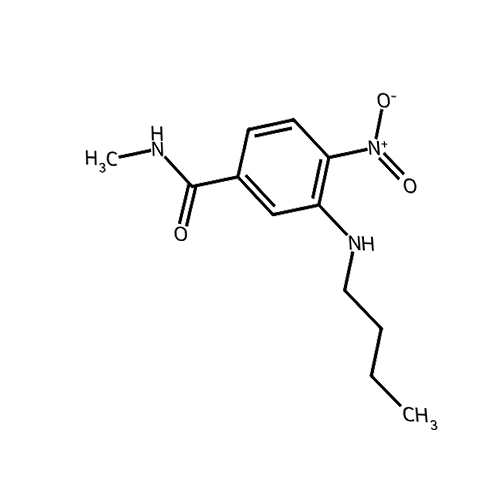 CCCCNc1cc(C(=O)NC)ccc1[N+](=O)[O-]